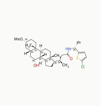 CO[C@@H]1CC[C@@]2(C)[C@@H](C1)C[C@@H](O)[C@@H]1[C@@H]2CC[C@]2(C)[C@@H]([C@H](C)CC(=O)N[C@@H](c3ccc(Cl)s3)C(C)C)CC[C@@H]12